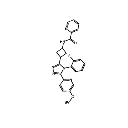 CC(C)Oc1ccc(-c2nnc(C3CC(NC(=O)c4ccccn4)C3)n2-c2ccccc2F)nc1